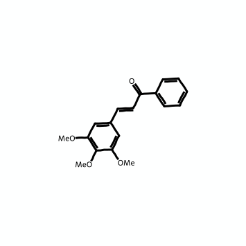 COc1cc(C=CC(=O)c2ccccc2)cc(OC)c1OC